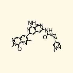 Cc1nc2c(=O)n(C)ncc2cc1-c1cc2cc(NC(=O)[C@H]3C[C@@H]3c3cnn(C)c3)ncc2c(N)n1